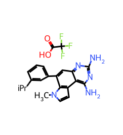 CC(C)c1cccc(-c2cc3nc(N)nc(N)c3c3ccn(C)c23)c1.O=C(O)C(F)(F)F